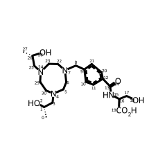 C[C@H](O)CN1CCN(Cc2ccc(C(=O)NC(CO)C(=O)O)cc2)CCN(C[C@H](C)O)CC1